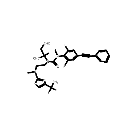 CN(CCN(C(=O)N(C)c1c(F)cc(C#Cc2ccccc2)cc1F)C(C)(C=O)CC=O)c1nc(C(F)(F)P)cs1